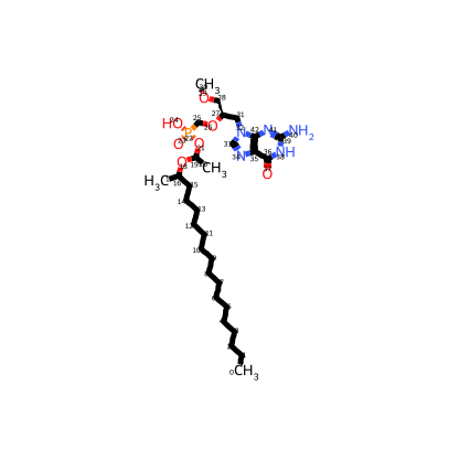 CCCCCCCCCCCCCCCCC(C)OC(C)OP(=O)(O)CO[C@@H](COC)Cn1cnc2c(=O)[nH]c(N)nc21